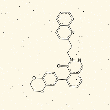 O=c1c2c(-c3ccc4c(c3)OCCO4)cccc2cnn1CCc1ccc2ccccc2n1